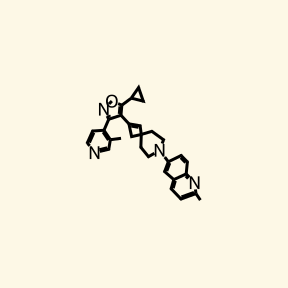 Cc1ccc2cc(N3CCC4(C=C(c5c(-c6ccncc6C)noc5C5CC5)C4)CC3)ccc2n1